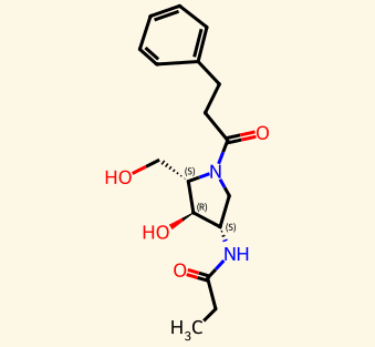 CCC(=O)N[C@H]1CN(C(=O)CCc2ccccc2)[C@@H](CO)[C@@H]1O